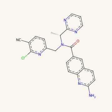 C[C@H](c1ncccn1)N(Cc1ccc(C#N)c(Cl)n1)C(=O)c1ccc2nc(N)ccc2c1